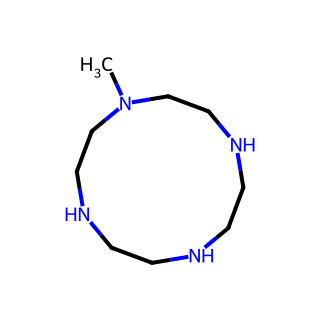 CN1CCNCCNCCNCC1